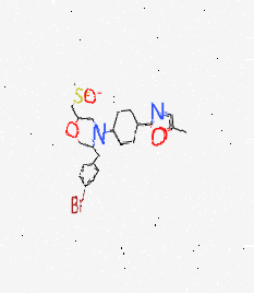 Cc1cnc(C2CCC(N3CC(C[S+](C)[O-])OCC3Cc3ccc(Br)cc3)CC2)o1